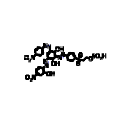 O=[N+]([O-])c1ccc(/N=N\c2cc(/N=N/c3ccc([N+](=O)[O-])cc3O)c(O)c(/N=N/c3ccc(S(=O)(=O)CCOS(=O)(=O)O)cc3)c2O)cc1